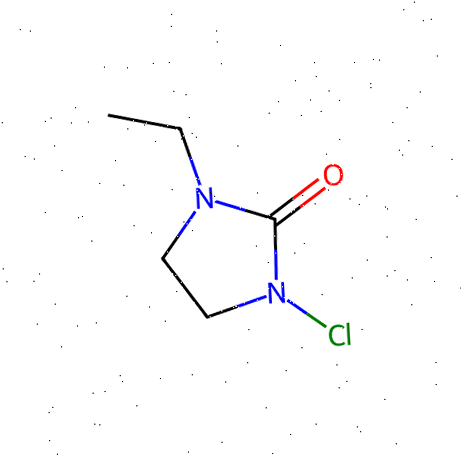 CCN1CCN(Cl)C1=O